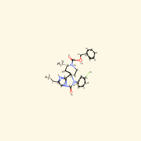 CCc1cn2c(n1)[C@]1(CCN(C(=O)OCc3ccccc3)[C@@H](C)C1)N(c1cccc(F)c1)C2=O